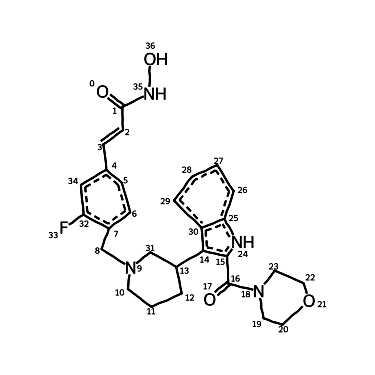 O=C(C=Cc1ccc(CN2CCCC(c3c(C(=O)N4CCOCC4)[nH]c4ccccc34)C2)c(F)c1)NO